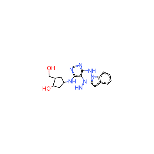 N=Nc1c(NC2CC(O)C(CO)C2)ncnc1Nn1ccc2ccccc21